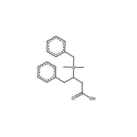 C[Si](C)(Cc1ccccc1)C(CC(=O)O)Cc1ccccc1